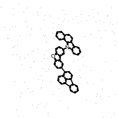 c1ccc2c(c1)-c1cccc3c(-c4ccc5oc6ccc(-n7c8ccccc8c8ccc9ccccc9c87)cc6c5c4)ccc-2c13